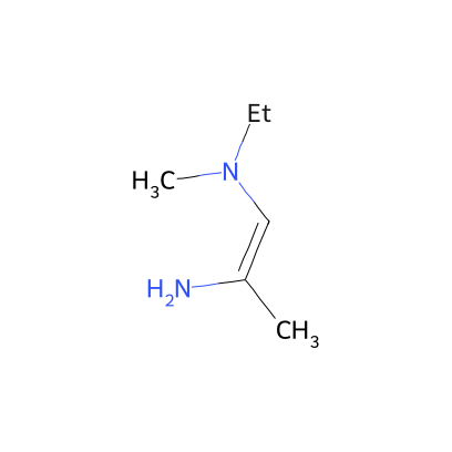 CCN(C)C=C(C)N